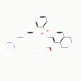 CCN(CC)CCC=Cc1ccccc1S(=O)(=O)Nc1ccc2c(c1C(=O)OC)CCCC2